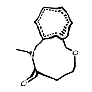 CN1C(=O)CCOc2ccccc21